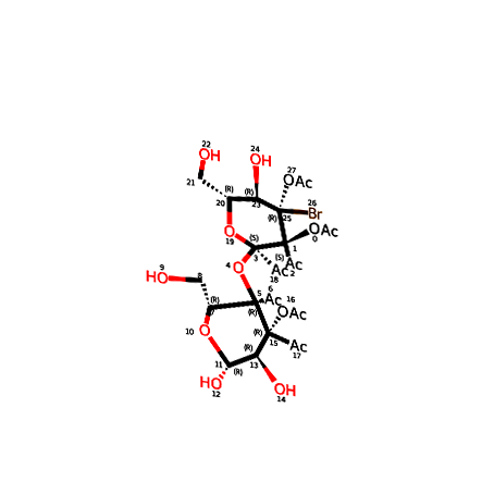 CC(=O)O[C@@]1(C(C)=O)[C@](O[C@]2(C(C)=O)[C@@H](CO)O[C@@H](O)[C@H](O)[C@]2(OC(C)=O)C(C)=O)(C(C)=O)O[C@H](CO)[C@@H](O)[C@]1(Br)OC(C)=O